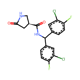 O=C1C[C@H](C(=O)NC(c2ccc(F)c(Cl)c2)c2ccc(F)c(Cl)c2)CN1